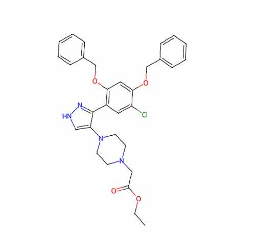 CCOC(=O)CN1CCN(c2c[nH]nc2-c2cc(Cl)c(OCc3ccccc3)cc2OCc2ccccc2)CC1